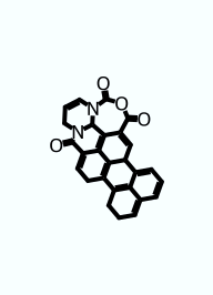 O=C1OC(=O)N2C=CCN3C(=O)C4=CCC5=C6C4=C(C1=CC6c1cccc4c1=C5CCC=4)C23